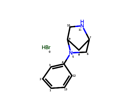 Br.c1ccc(N2CC3CC2CN3)cc1